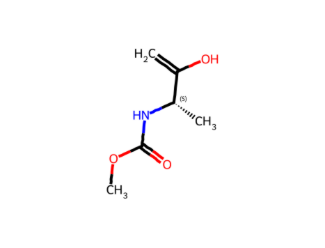 C=C(O)[C@H](C)NC(=O)OC